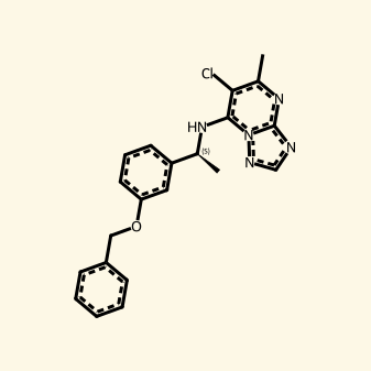 Cc1nc2ncnn2c(N[C@@H](C)c2cccc(OCc3ccccc3)c2)c1Cl